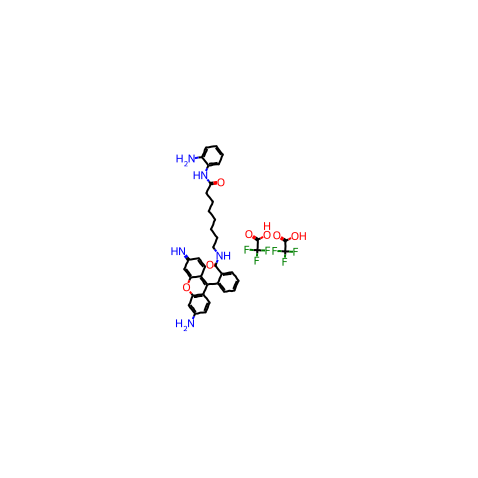 N=c1ccc2c(-c3ccccc3C(=O)NCCCCCCCC(=O)Nc3ccccc3N)c3ccc(N)cc3oc-2c1.O=C(O)C(F)(F)F.O=C(O)C(F)(F)F